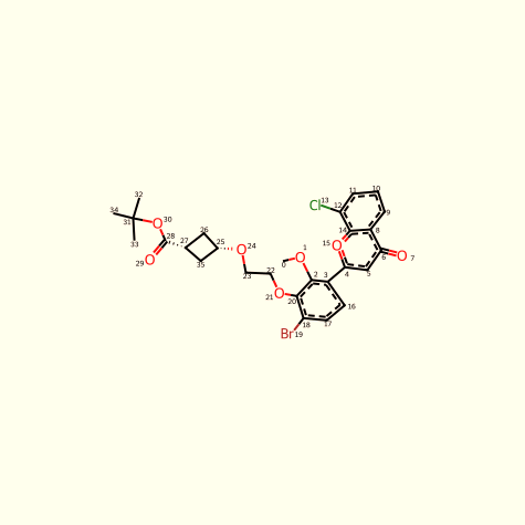 COc1c(-c2cc(=O)c3cccc(Cl)c3o2)ccc(Br)c1OCCO[C@H]1C[C@@H](C(=O)OC(C)(C)C)C1